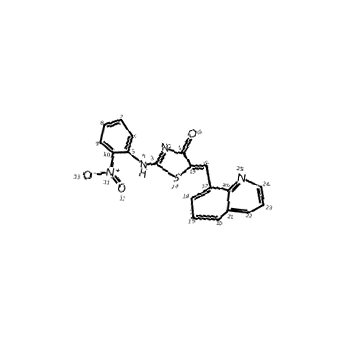 O=C1N=C(Nc2ccccc2[N+](=O)[O-])SC1=Cc1cccc2cccnc12